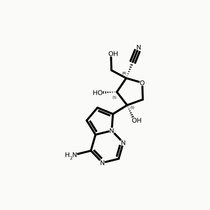 N#C[C@]1(CO)OC[C@@](O)(c2ccc3c(N)ncnn23)[C@@H]1O